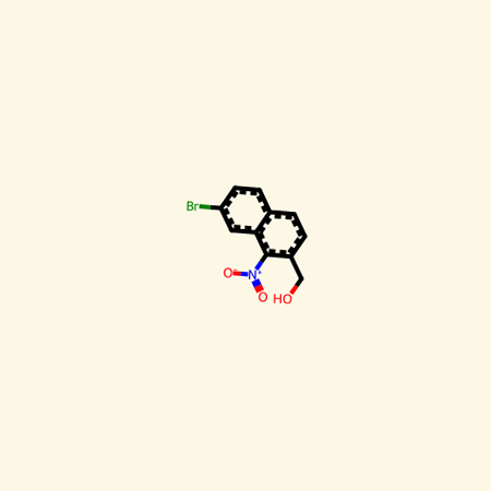 O=[N+]([O-])c1c(CO)ccc2ccc(Br)cc12